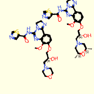 COc1c(OC[C@H](O)CN2CCOCC2)ccc2c1N=C(NC(=O)c1cncs1)N1CCN=C21.COc1c(OC[C@H](O)CN2C[C@@H](C)O[C@@H](C)C2)ccc2c1N=C(NC(=O)c1cncs1)N1CCN=C21